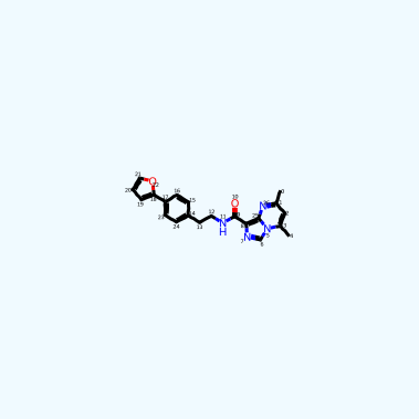 Cc1cc(C)n2cnc(C(=O)NCCc3ccc(-c4ccco4)cc3)c2n1